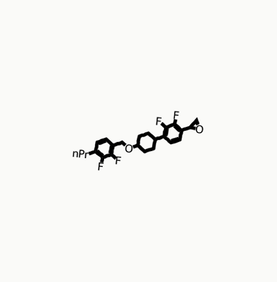 CCCc1ccc(COC2CCC(c3ccc(C4CO4)c(F)c3F)CC2)c(F)c1F